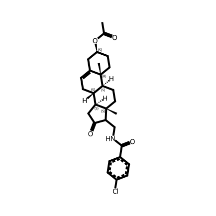 CC(=O)O[C@H]1CC[C@@]2(C)C(=CC[C@@H]3[C@@H]2CC[C@]2(C)C(CNC(=O)c4ccc(Cl)cc4)C(=O)C[C@@H]32)C1